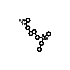 Nc1ccccc1Nc1ccc(-c2cccc3c(-c4cccc(C5N=C(c6ccccc6)NC5c5ccc(-c6ccccc6)cc5)c4)cccc23)cc1